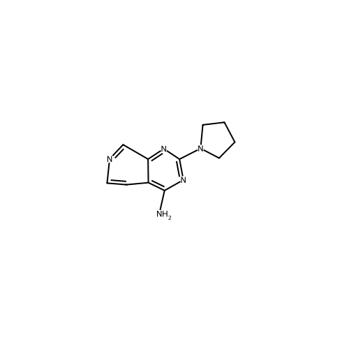 Nc1nc(N2CCCC2)nc2cnccc12